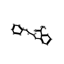 NC(=O)c1ccccc1COC[CH]c1ccccc1